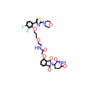 O=C(COc1cccc2c1C(=O)N(C1CCC(=O)NC1=O)C2=O)NCCOCCCOc1c(-c2csc(N3CCOCC3)n2)ccc(F)c1F